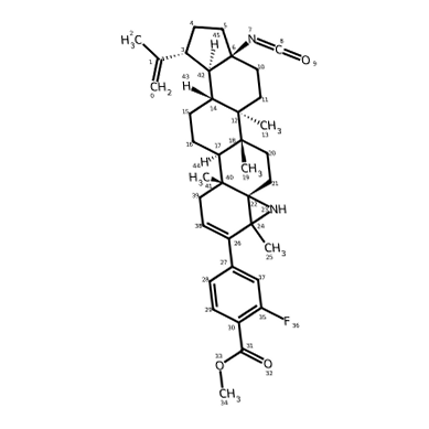 C=C(C)[C@@H]1CC[C@]2(N=C=O)CC[C@]3(C)[C@H](CC[C@H]4[C@@]3(C)CC[C@@]35NC3(C)C(c3ccc(C(=O)OC)c(F)c3)=CC[C@]45C)[C@@H]12